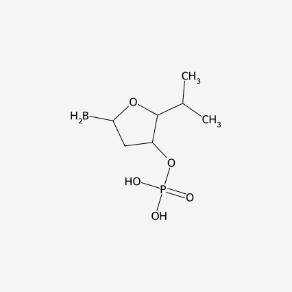 BC1CC(OP(=O)(O)O)C(C(C)C)O1